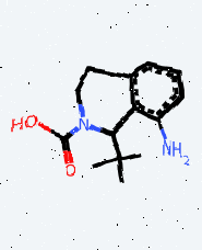 CC(C)(C)C1c2c(N)cccc2CCN1C(=O)O